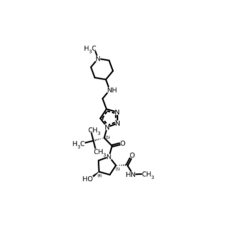 CNC(=O)[C@@H]1C[C@@H](O)CN1C(=O)[C@@H](n1cc(CNC2CCN(C)CC2)nn1)C(C)(C)C